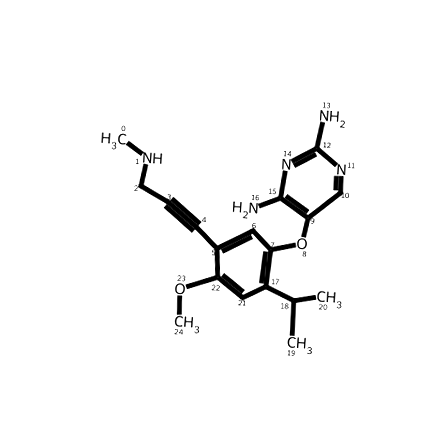 CNCC#Cc1cc(Oc2cnc(N)nc2N)c(C(C)C)cc1OC